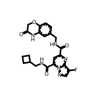 O=C1COc2ccc(CNC(=O)c3cc(C(=O)NCC4CCC4)n4ncc(F)c4n3)cc2N1